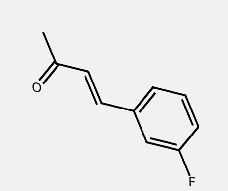 CC(=O)C=Cc1cccc(F)c1